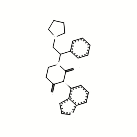 O=C1CCN(C(CN2CCCC2)c2ccccc2)C(=O)[C@H]1c1cccc2sccc12